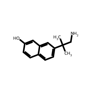 CC(C)(CN)c1ccc2ccc(O)cc2c1